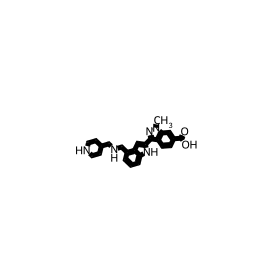 Cn1nc(-c2cc3c(CNCC4CCNCC4)cccc3[nH]2)c2ccc(C(=O)O)cc21